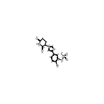 O=C1CCC(n2cnc(-c3ccc(Br)c(OS(=O)(=O)F)c3)c2)C(=O)N1